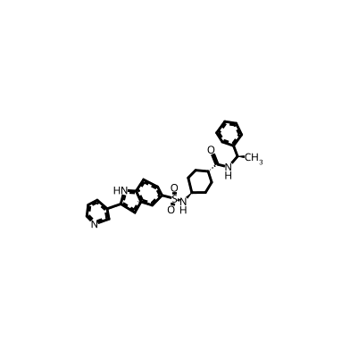 C[C@@H](NC(=O)[C@H]1CC[C@H](NS(=O)(=O)c2ccc3[nH]c(-c4cccnc4)cc3c2)CC1)c1ccccc1